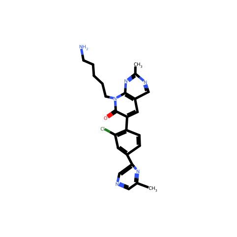 Cc1cncc(-c2ccc(-c3cc4cnc(C)nc4n(CCCCCN)c3=O)c(Cl)c2)n1